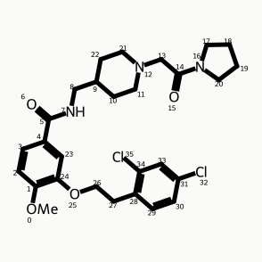 COc1ccc(C(=O)NCC2CCN(CC(=O)N3CCCC3)CC2)cc1OCCc1ccc(Cl)cc1Cl